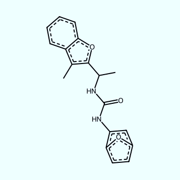 Cc1c(C(C)NC(=O)Nc2cc3ccc2o3)oc2ccccc12